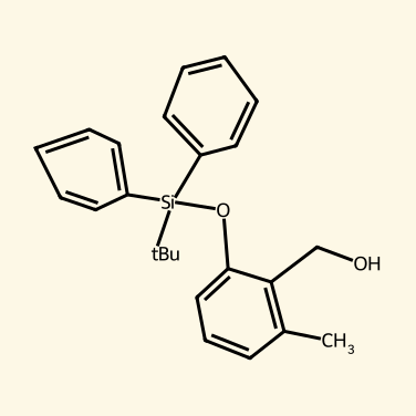 Cc1cccc(O[Si](c2ccccc2)(c2ccccc2)C(C)(C)C)c1CO